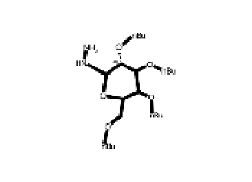 CCCCOCC1OC(NN)[C@H](OCCCC)C(OCCCC)C1OCCCC